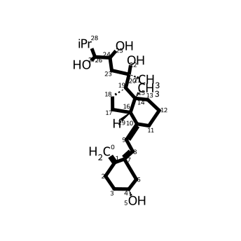 C=C1CC[C@@H](O)C/C1=C/C=C1\CCC[C@@]2(C)[C@H]1CC[C@@H]2[C@](C)(O)CC(O)C(O)C(C)C